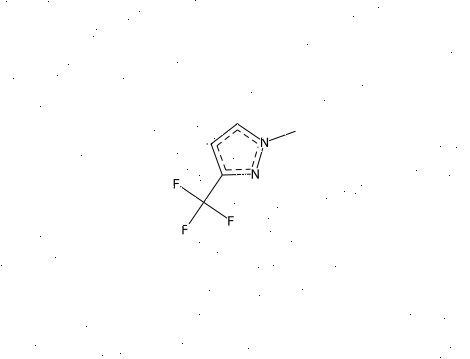 Cn1c[c]c(C(F)(F)F)n1